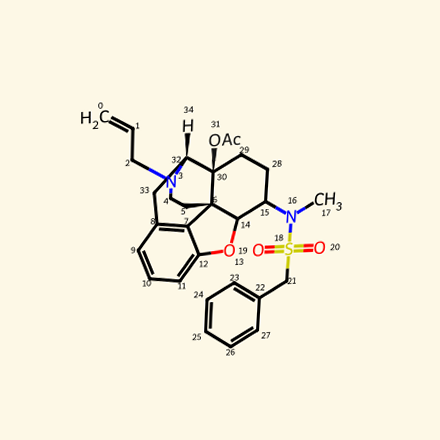 C=CCN1CC[C@]23c4c5cccc4OC2C(N(C)S(=O)(=O)Cc2ccccc2)CC[C@@]3(OC(C)=O)[C@H]1C5